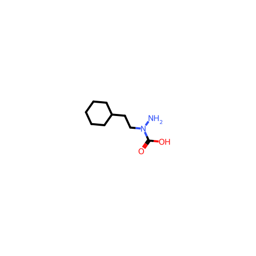 NN(CCC1CCCCC1)C(=O)O